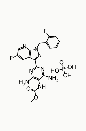 COC(=O)Nc1c(N)nc(-c2nn(Cc3ccccc3F)c3ncc(F)cc23)nc1N.O=P(O)(O)O